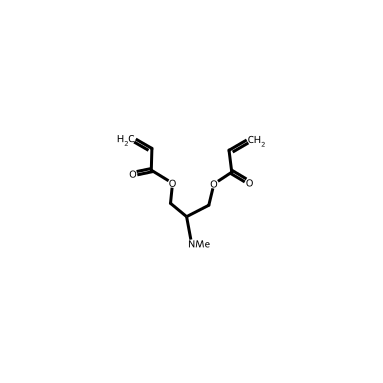 C=CC(=O)OCC(COC(=O)C=C)NC